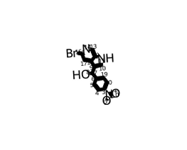 O=[N+]([O-])c1ccc(C(O)c2c[nH]c3cnc(Br)cc23)cc1